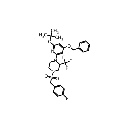 CC(C)(C)Oc1cc(OCc2ccccc2)cc(N2CCN(S(=O)(=O)Cc3ccc(F)cc3)CC2C(F)(F)F)n1